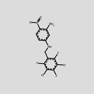 Nc1cc(NCc2c(F)c(Cl)c(F)c(Cl)c2F)ccc1[N+](=O)[O-]